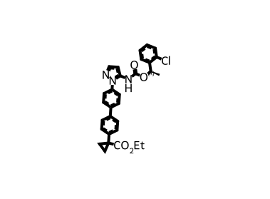 CCOC(=O)C1(c2ccc(-c3ccc(-n4nccc4NC(=O)O[C@H](C)c4ccccc4Cl)cc3)cc2)CC1